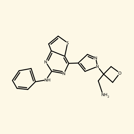 NCC1(n2cc(-c3nc(Nc4ccccc4)nc4ccsc34)cn2)COC1